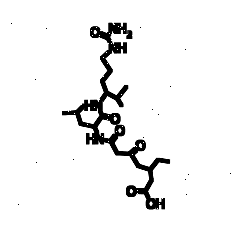 CCC(CC(=O)O)CC(=O)CC(=O)NC(CC(C)C)C(=O)NC(CCCNC(N)=O)C(C)C